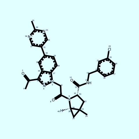 CC(=O)c1nn(CC(=O)N2[C@H](C(=O)NCc3cccc(Cl)c3)CC3(C)C[C@@H]23)c2ccc(-c3cnc(C)nc3)cc12